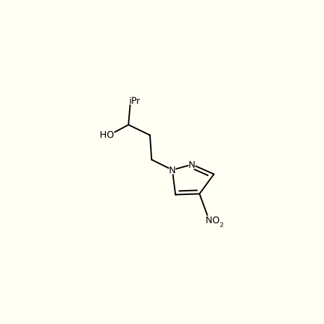 CC(C)C(O)CCn1cc([N+](=O)[O-])cn1